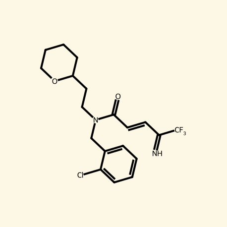 N=C(/C=C/C(=O)N(CCC1CCCCO1)Cc1ccccc1Cl)C(F)(F)F